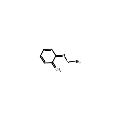 C=C1C=CC=C/C1=N/SN